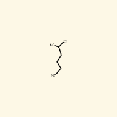 CCC(C#N)CCCC#N